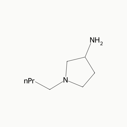 CCCCN1CCC(N)C1